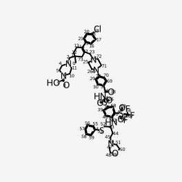 CC1(CN2CCN(C(=O)O)CC2)CCC(c2ccc(Cl)cc2)=C(CN2CCN(c3ccc(C(=O)NS(=O)(=O)c4ccc(NC(CCN5CCOCC5)CSc5ccccc5)c(S(=O)(=O)C(F)(F)F)c4)cc3)CC2)C1